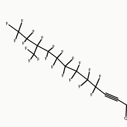 CC(O)C#CC(F)(F)C(F)(F)C(F)(F)C(F)(F)C(F)(F)C(F)(F)C(F)(C(F)(F)F)C(F)(F)C(F)(F)F